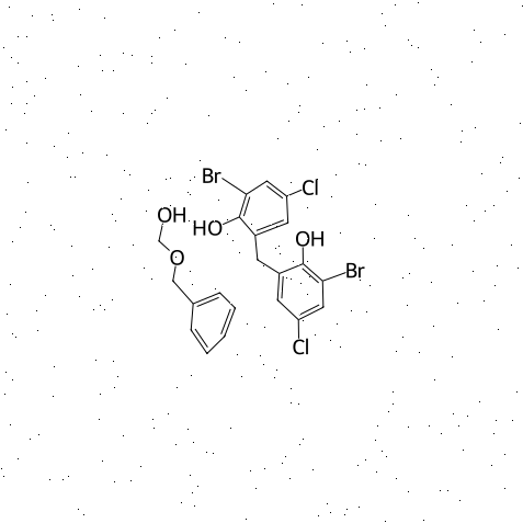 OCOCc1ccccc1.Oc1c(Br)cc(Cl)cc1Cc1cc(Cl)cc(Br)c1O